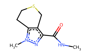 CNC(=O)c1nn(C)c2c1CSCC2